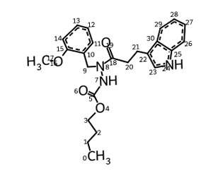 CCCCOC(=O)NN(Cc1ccccc1OC)C(=O)CCc1c[nH]c2ccccc12